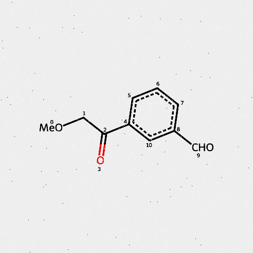 COCC(=O)c1cccc(C=O)c1